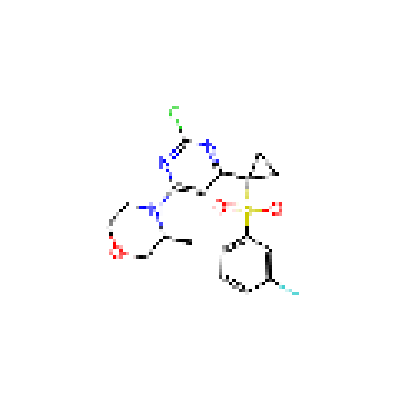 C[C@H]1COCCN1c1cc(C2(S(=O)(=O)c3cccc(F)c3)CC2)nc(Cl)n1